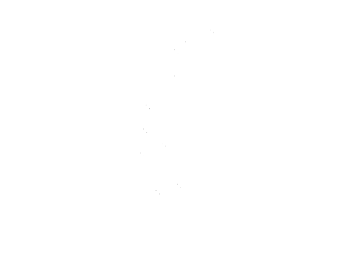 CCC1CN(c2ccc(C#N)nn2)CCC1Nc1nc(Nc2ccn3c(C4CC4)cnc3c2)ncc1Cl